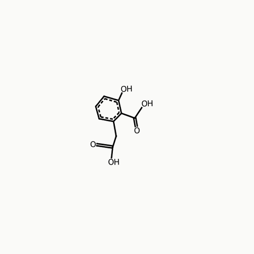 O=C(O)Cc1cccc(O)c1C(=O)O